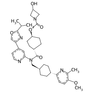 COc1ccc([C@H]2CC[C@H](CN(c3cc(-c4coc(C(C)C)n4)ccn3)C(=O)[C@H]3CC[C@H](OC(=O)N4CC(O)C4)CC3)CC2)nc1C